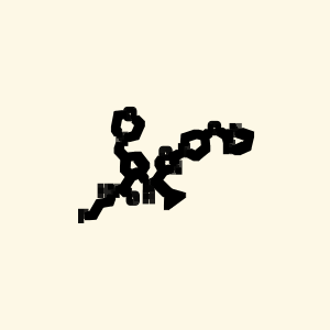 O=C(NCCCF)c1cc(CN2CCOCC2)ccc1NC(=C1CC1)C1COC(N2CCC(Oc3ncccn3)CC2)=N1